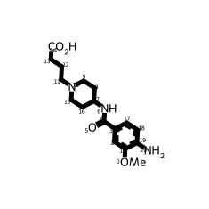 COc1cc(C(=O)NC2CCN(CCCC(=O)O)CC2)ccc1N